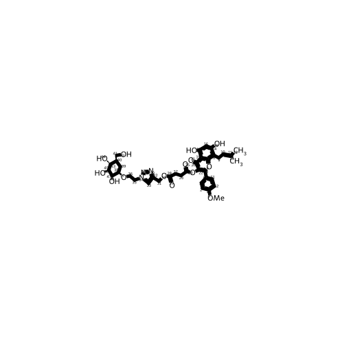 COc1ccc(-c2oc3c(CC=C(C)C)c(O)cc(O)c3c(=O)c2OC(=O)CCC(=O)OCc2cn(CCO[C@@H]3C[C@H](CO)[C@@H](O)[C@H](O)[C@H]3O)nn2)cc1